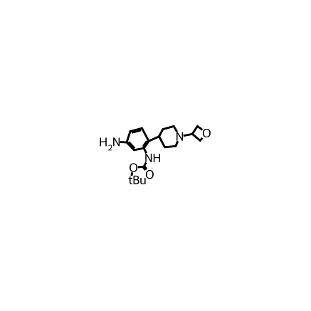 CC(C)(C)OC(=O)Nc1cc(N)ccc1C1CCN(C2COC2)CC1